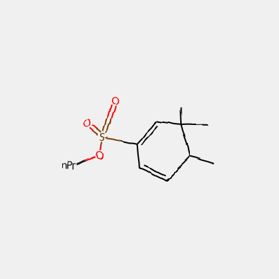 CCCOS(=O)(=O)C1=CC(C)(C)C(C)C=C1